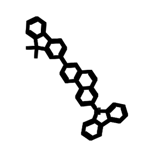 CC1(C)c2ccccc2-c2ccc(-c3ccc4c(ccc5cc(-n6c7ccccc7c7ccccc76)ccc54)c3)cc21